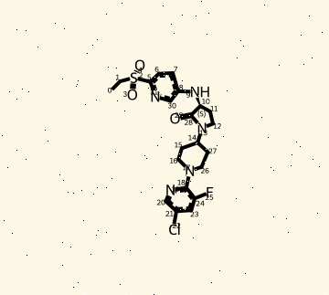 CCS(=O)(=O)c1ccc(N[C@H]2CCN(C3CCN(c4ncc(Cl)cc4F)CC3)C2=O)cn1